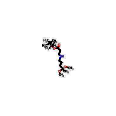 CO[Si](C)(CCCNCCC(=O)O[Si](C)(C)C(C)(C)C)OC